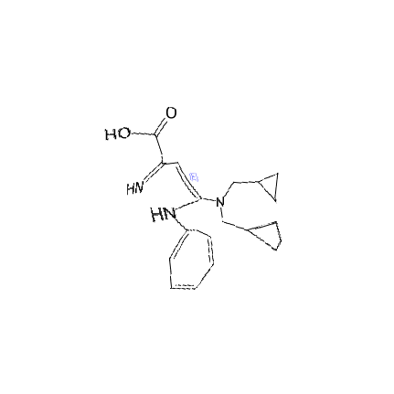 N=C(/C=C(\Nc1ccccc1)N(CC1CC1)CC1CC1)C(=O)O